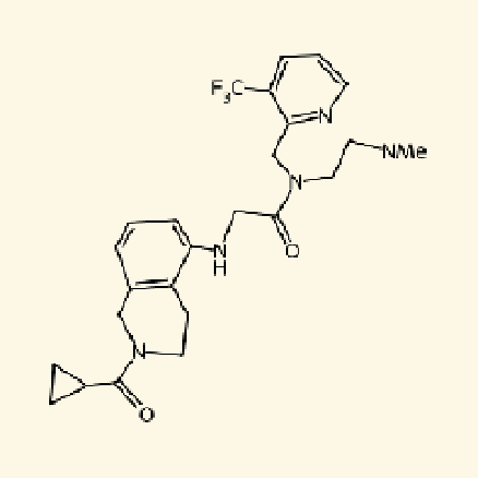 CNCCN(Cc1ncccc1C(F)(F)F)C(=O)CNc1cccc2c1CCN(C(=O)C1CC1)C2